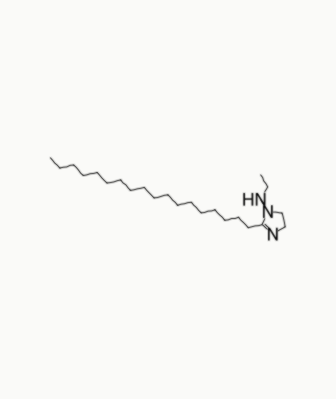 CCCCCCCCCCCCCCCCCCC1=NCCN1NCC